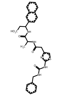 CC(NC(=O)Cc1csc(NC(=O)NCc2ccccc2)n1)C(=O)NC(CC(=O)O)c1ccc2ccccc2c1